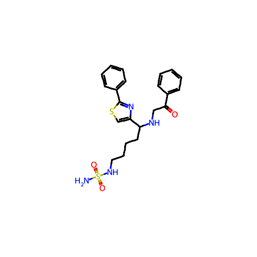 NS(=O)(=O)NCCCCC(NCC(=O)c1ccccc1)c1csc(-c2ccccc2)n1